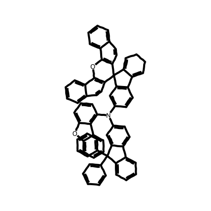 C1=C2C(=CCC1)C1(c3cc(N(c4ccc5c(c4)C(c4ccccc4)(c4ccccc4)c4ccccc4-5)c4cccc5oc6ccccc6c45)ccc32)c2ccc3ccccc3c2Oc2c1ccc1ccccc21